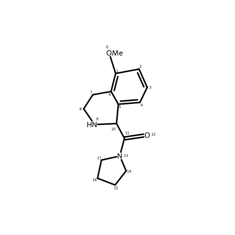 COc1cccc2c1CCNC2C(=O)N1CCCC1